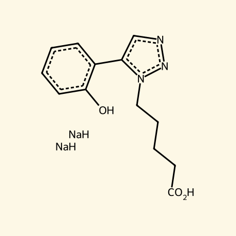 O=C(O)CCCCn1nncc1-c1ccccc1O.[NaH].[NaH]